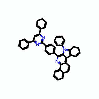 C1=CC(c2cc(-c3ccccc3)nc(-c3ccc(-c4nc5c6ccccc6ccc5c5c6c(n(-c7ccccc7)c45)CCC=C6)cc3)n2)=CCC1